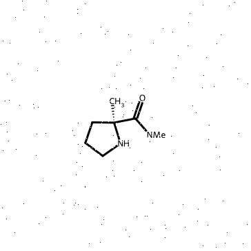 CNC(=O)[C@]1(C)CCCN1